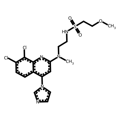 COCCS(=O)(=O)NCCN(C)c1cc(-n2ccnc2)c2ccc(Cl)c(Cl)c2n1